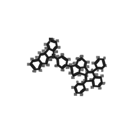 c1ccc(-c2c3c(c(-c4ccccc4)c4ccccc24)-c2ccc(-c4ccc(-n5c6ccncc6c6cc7ccccc7cc65)cc4)c4cccc-3c24)cc1